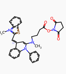 CN(CCCC(=O)ON1C(=O)CCC1=O)C1=C/C(=C\c2sc3ccccc3[n+]2C)c2ccccc2N1c1ccccc1